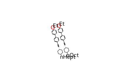 CCCCCCCC[C@H]1CC[C@H](C#Cc2ccc(-c3ccc(OCC)cc3)cc2)CC1.CCCCCCC[C@H]1CC[C@H](C#Cc2ccc(-c3ccc(OCC)cc3)cc2)CC1